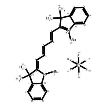 CCCCN1C(=CC=CC=CC2=[N+](CCCC)c3ccccc3C2(C)C)C(C)(C)c2ccccc21.F[P-](F)(F)(F)(F)F